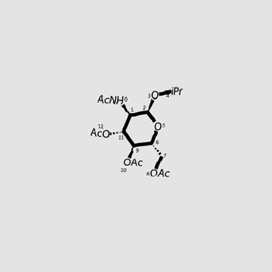 CC(=O)N[C@H]1[C@@H](OC(C)C)O[C@H](COC(C)=O)[C@@H](OC(C)=O)[C@@H]1OC(C)=O